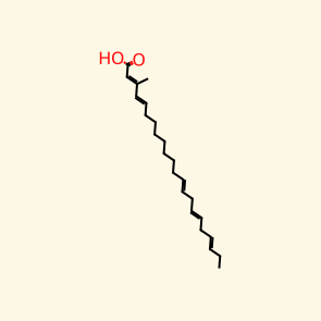 CC/C=C/C/C=C/C/C=C/CCCCCCC/C=C/C(C)=C/C(=O)O